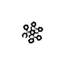 C/C=C\C(=C/C)N(c1ccccc1)c1c(CC)c(N(c2ccccc2)c2ccccc2)c(CC)c(N(c2ccccc2)c2ccccc2)c1CC